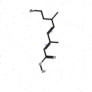 CCC(C)CCC(C)/C=C/C(C)=C/C(=O)OC(C)C